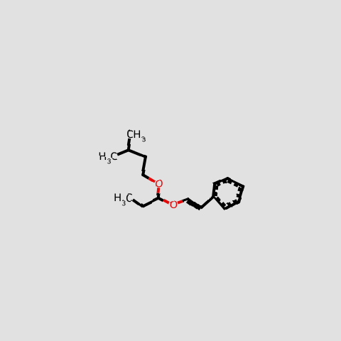 CCC(OC=Cc1ccccc1)OCCC(C)C